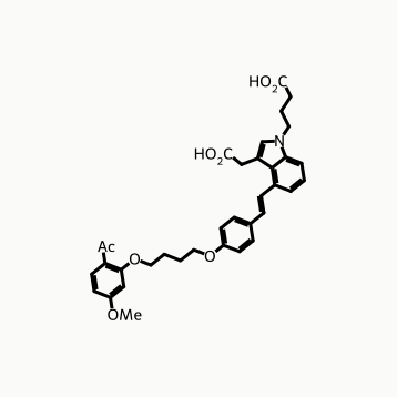 COc1ccc(C(C)=O)c(OCCCCOc2ccc(/C=C/c3cccc4c3c(CC(=O)O)cn4CCCC(=O)O)cc2)c1